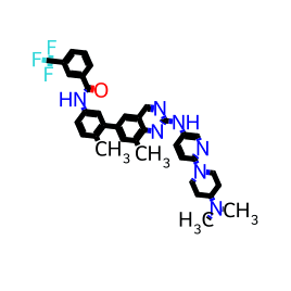 Cc1ccc(NC(=O)c2cccc(C(F)(F)F)c2)cc1-c1cc(C)c2nc(Nc3ccc(N4CCC(N(C)C)CC4)nc3)ncc2c1